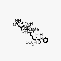 COC1(NC(=O)CCCC(NC(=O)Nc2ccccc2)C(=O)O)C(=O)N2C(C(=O)O)=C(COC(N)=O)CS[C@H]21